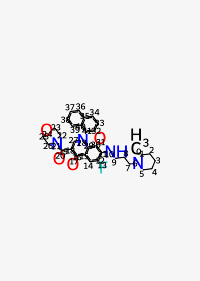 CC1CCCCN1CCCNc1c(F)cc2c(=O)c(C(=O)N3CCOCC3)cn3c2c1Oc1ccc2ccccc2c1-3